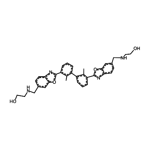 Cc1c(-c2nc3ccc(CNCCO)cc3o2)cccc1-c1cccc(-c2nc3ccc(CNCCO)cc3o2)c1C